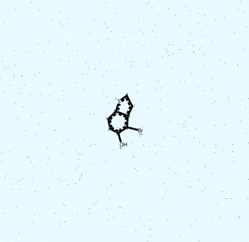 Oc1ccc2sccc2c1Br